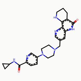 O=C(NC1CC1)c1ccc(N2CCN(Cc3cnc4c5c(c(=O)[nH]c4c3)CCCN5)CC2)cn1